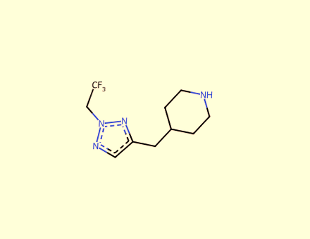 FC(F)(F)Cn1ncc(CC2CCNCC2)n1